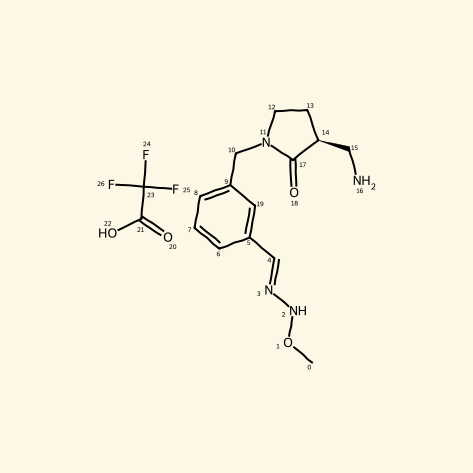 CONN=Cc1cccc(CN2CC[C@@H](CN)C2=O)c1.O=C(O)C(F)(F)F